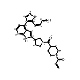 C=CC(=O)N1CCC(C(=O)N2CCC(c3cc4c(-c5cn[nH]c5/C=C\C=N)ccnc4[nH]3)C2)CC1